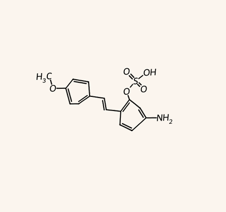 COc1ccc(C=Cc2ccc(N)cc2OS(=O)(=O)O)cc1